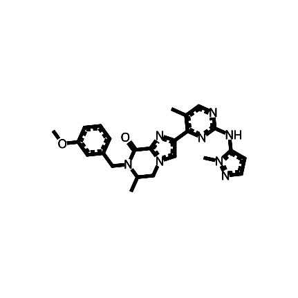 COc1cccc(CN2C(=O)c3nc(-c4nc(Nc5ccnn5C)ncc4C)cn3CC2C)c1